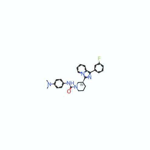 CN(C)c1ccc(NC(=O)N2CCC[C@H](c3nc(-c4cccc(F)c4)c4ccccn34)C2)cc1